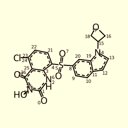 O=c1[nH]c2c(S(=O)(=O)c3ccc4ccn(C5COC5)c4c3)ccc(Cl)c2c(=O)n1O